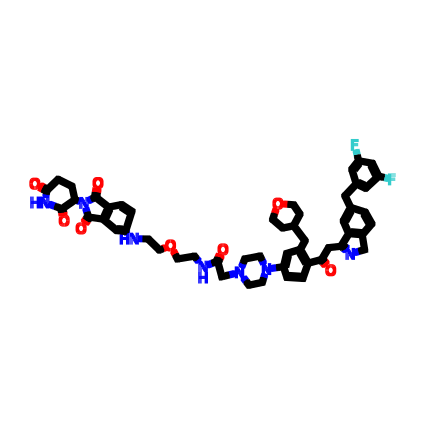 O=C(CN1CCN(c2ccc(C(=O)CC3=NCc4ccc(Cc5cc(F)cc(F)c5)cc43)c(CC3CCOCC3)c2)CC1)NCCOCCNc1ccc2c(c1)C(=O)N(C1CCC(=O)NC1=O)C2=O